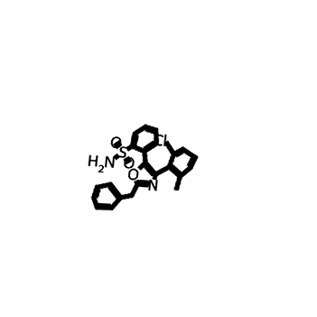 Cc1cccc(Cl)c1-c1nc(Cc2ccccc2)oc1-c1ccccc1S(N)(=O)=O